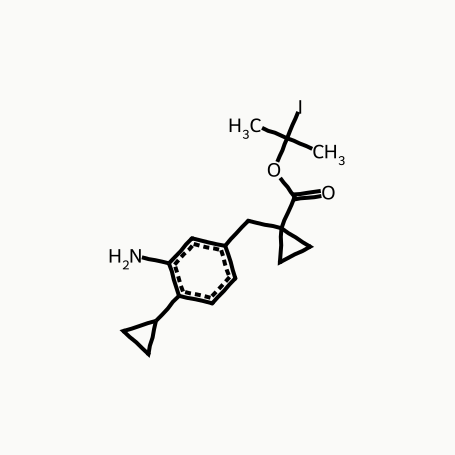 CC(C)(I)OC(=O)C1(Cc2ccc(C3CC3)c(N)c2)CC1